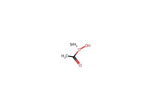 CC(=O)OO.[SrH2]